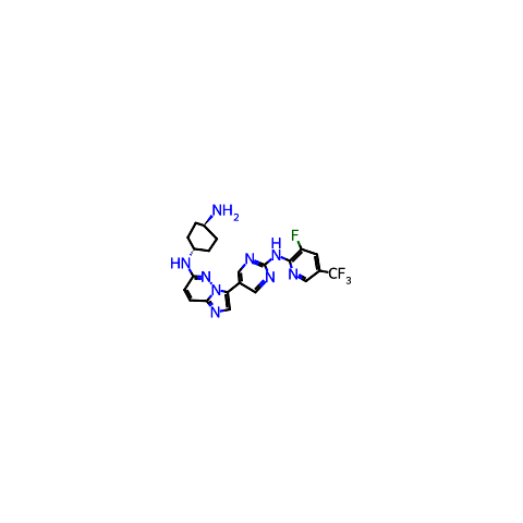 N[C@H]1CC[C@H](Nc2ccc3ncc(-c4cnc(Nc5ncc(C(F)(F)F)cc5F)nc4)n3n2)CC1